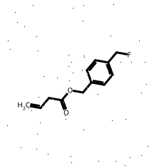 C=CCC(=O)OCc1ccc(CF)cc1